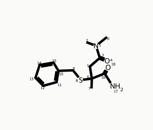 CN(C)C(=O)CC(C)(SCc1ccccc1)C(N)=O